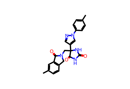 Cc1ccc(-n2cc(C3(CN4Cc5ccc(C)cc5C4=O)NC(=O)NC3=O)cn2)cc1